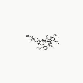 Cc1cc(C(F)(F)F)cc(N2C(=O)C[C@@H]3CN(Cc4nc5n(c4C)CCN(C(=O)OC(C)(C)C)C5)c4c(C)cccc4N(C)C(=O)[C@H]32)n1